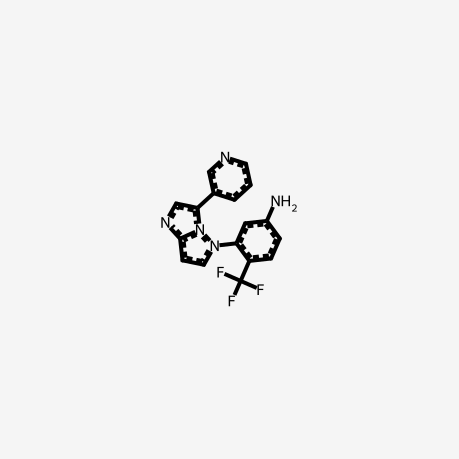 Nc1ccc(C(F)(F)F)c(-n2ccc3ncc(-c4cccnc4)n32)c1